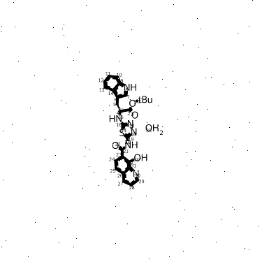 CC(C)(C)OC(=O)[C@H](Cc1c[nH]c2ccccc12)Nc1nnc(NC(=O)c2ccc3cccnc3c2O)s1.O